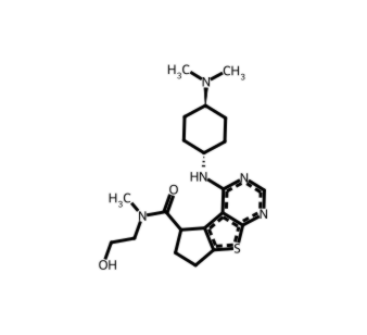 CN(CCO)C(=O)C1CCc2sc3ncnc(N[C@H]4CC[C@H](N(C)C)CC4)c3c21